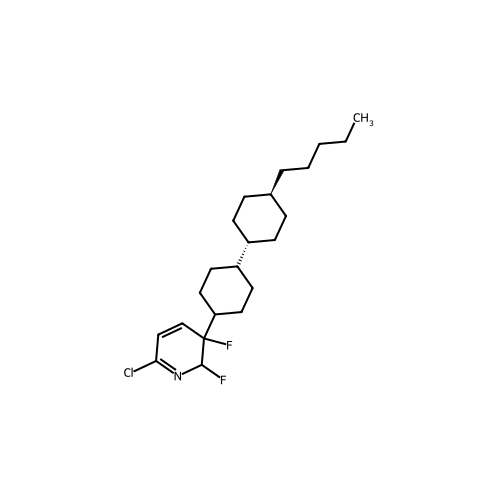 CCCCC[C@H]1CC[C@H](C2CCC(C3(F)C=CC(Cl)=NC3F)CC2)CC1